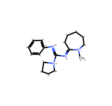 CN1CCCCCC1=NC(=Nc1ccccc1)N1CCCC1